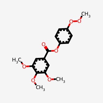 COOc1ccc(OC(=O)c2cc(OC)c(OC)c(OC)c2)cc1